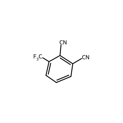 N#Cc1cccc(C(F)(F)F)c1C#N